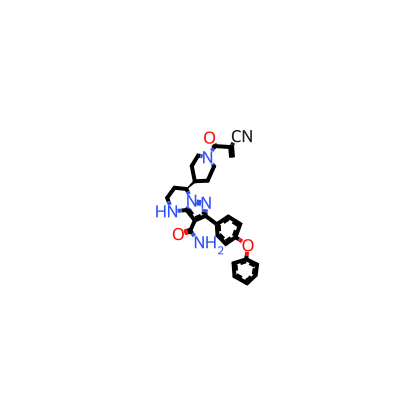 C=C(C#N)C(=O)N1CCC([C@@H]2CCNc3c(C(N)=O)c(-c4ccc(Oc5ccccc5)cc4)nn32)CC1